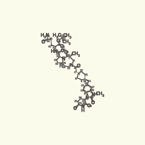 C[C@H]1CN(C(=O)C[C@H]2CC[C@H](Cc3ccc4c(c3)n(C)c(=O)n4C3CCC(=O)NC3=O)CC2)CC[C@H]2CC[C@@H](C(=O)N[C@@H](CCC(N)=O)C(=O)OC(C)(C)C)N2C1=O